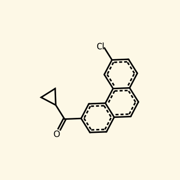 O=C(c1ccc2ccc3ccc(Cl)cc3c2c1)C1CC1